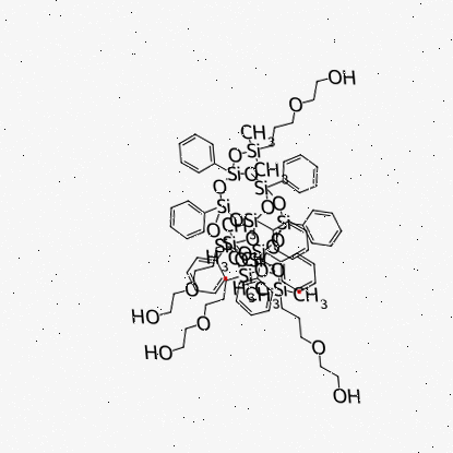 C[Si](C)(CCCOCCO)O[Si]1(c2ccccc2)O[Si]2(c3ccccc3)O[Si](O[Si](C)(C)CCCOCCO)(c3ccccc3)O[Si](c3ccccc3)(O1)O[Si]1(c3ccccc3)O[Si](O[Si](C)(C)CCCOCCO)(c3ccccc3)O[Si](c3ccccc3)(O[Si](O[Si](C)(C)CCCOCCO)(c3ccccc3)O1)O2